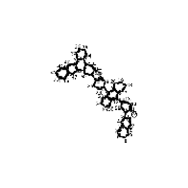 c1ccc2cc3c(cc2c1)oc1ccc(-c2c4ccccc4c(-c4ccc5c(c4)sc4cc6c7ccccc7c7cc8ccccc8cc7c6cc45)c4ccccc24)cc13